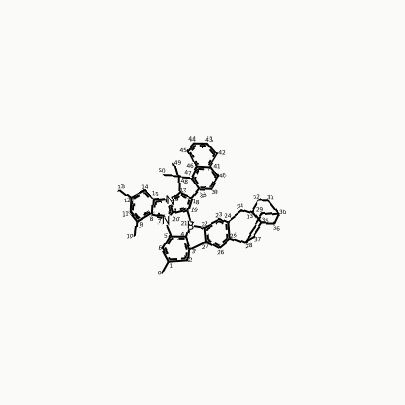 Cc1cc2c3c(c1)-n1c4c(C)cc(C)cc4n4c5c(c(c14)B3c1cc3c(cc1-2)C1CC2CCC(C3)C(C2)C1)-c1ccc2ccccc2c1C5(C)C